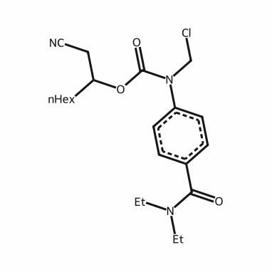 CCCCCCC(CC#N)OC(=O)N(CCl)c1ccc(C(=O)N(CC)CC)cc1